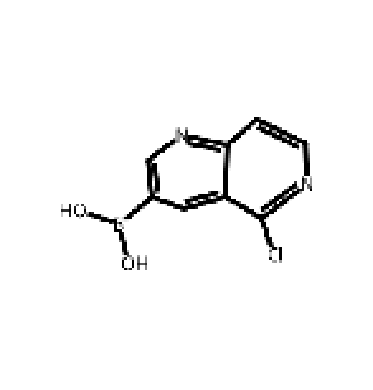 OB(O)c1cnc2ccnc(Cl)c2c1